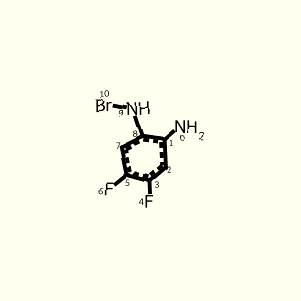 Nc1cc(F)c(F)cc1NBr